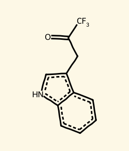 O=C(Cc1c[nH]c2ccccc12)C(F)(F)F